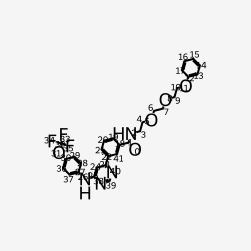 O=C(NCCOCCOCCOc1ccccc1)c1cccc(-c2cc(Nc3ccc(OC(F)(F)F)cc3)ncn2)c1